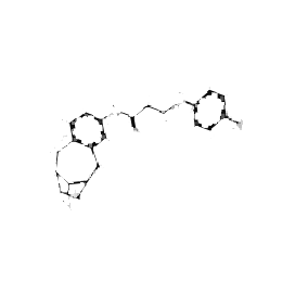 NC1C2CCC1Cc1cc(NC(=O)CCOc3ccc(F)cc3)ccc1C2